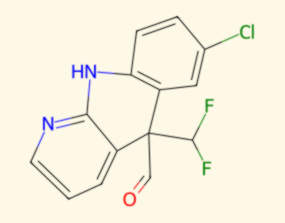 O=CC1(C(F)F)c2cc(Cl)ccc2Nc2ncccc21